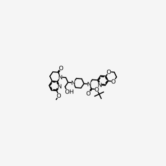 COc1ccc2c(n1)N(CC(CO)N1CCC(N(Cc3cc4c(cn3)OCCO4)C(=O)OC(C)(C)C)CC1)C(=O)CC2